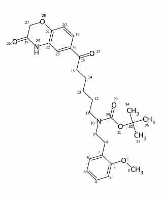 COc1ccccc1CCN(CCCCCC(=O)c1ccc2c(c1)NC(=O)CO2)C(=O)OC(C)(C)C